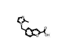 Cc1nccn1Cc1ccc2oc(C(=O)O)cc2c1